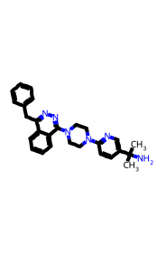 CC(C)(N)c1ccc(N2CCN(c3nnc(Cc4ccccc4)c4ccccc34)CC2)nc1